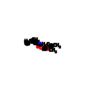 Cc1cc(C)c(S(=O)(=O)N2CCC(OCC(=O)NC3CCC(CCc4ccccc4)(N(C)C)CC3)C2)c(C)c1